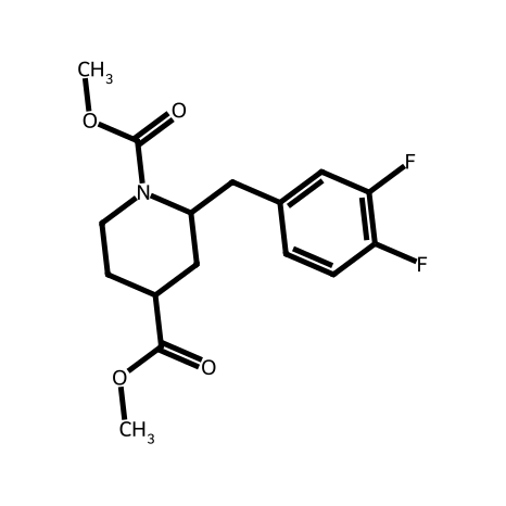 COC(=O)C1CCN(C(=O)OC)C(Cc2ccc(F)c(F)c2)C1